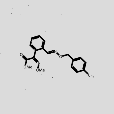 CON=C(C(=O)OC)c1ccccc1C=NOCc1ccc(C(F)(F)F)cc1